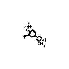 C[C@@H]1CN(c2ccc(OC(F)(F)F)c(C#N)c2)CCN1